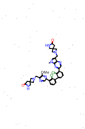 COc1nc(-c2cccc(-c3cccc(-c4cnc5c(CN6CC7(CNC(=O)C7)C6)cn(C)c5n4)c3Cl)c2Cl)cnc1CN1CC2(CNC(=O)C2)C1